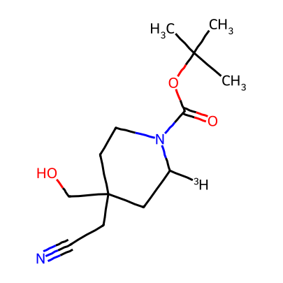 [3H]C1CC(CO)(CC#N)CCN1C(=O)OC(C)(C)C